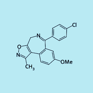 COc1ccc2c(c1)C(c1ccc(Cl)cc1)=NCc1onc(C)c1-2